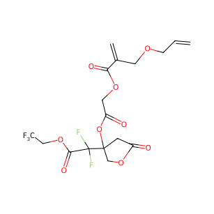 C=CCOCC(=C)C(=O)OCC(=O)OC1(C(F)(F)C(=O)OCC(F)(F)F)COC(=O)C1